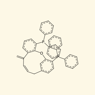 C=C1/C=C\Cc2ccc(P(c3ccccc3)c3ccccc3)c(c2)Oc2c1cccc2P(c1ccccc1)c1ccccc1